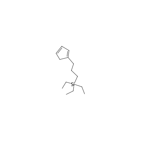 CC[Si](CC)(CC)CCCC1=CC=CC1